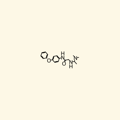 CC(NCC(=O)Nc1ccc(Oc2ccccc2)cc1)N(C)C